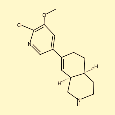 COc1cc(C2=C[C@@H]3CNCC[C@@H]3CC2)cnc1Cl